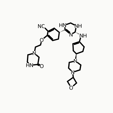 N#CC1=C[C@H](C2=N[C@@H](NC3=CC[C@H](N4CCN(C5COC5)CC4)CC3)NCN2)CC=C1OCCN1CCNC(=O)C1